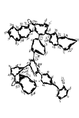 c1ccc(-c2ccc(-c3nc(-c4ccc(-c5c(-c6ccc7ccccc7c6)ccc6oc7cc8ccccc8cc7c56)cc4)nc(-c4cccc5oc6ccccc6c45)n3)cc2)cc1